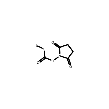 O=C(OI)ON1C(=O)CCC1=O